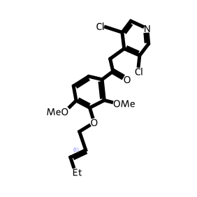 CC/C=C/COc1c(OC)ccc(C(=O)Cc2c(Cl)cncc2Cl)c1OC